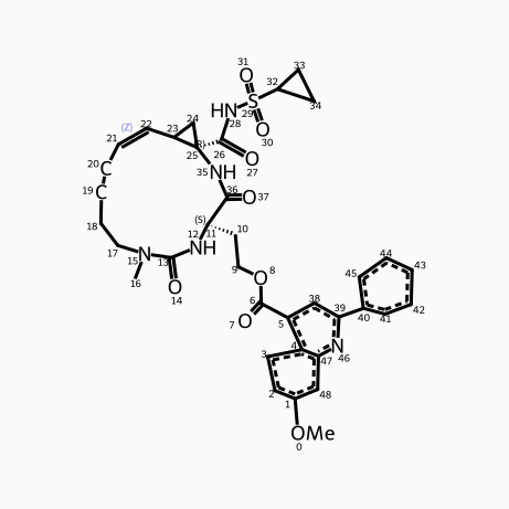 COc1ccc2c(C(=O)OCC[C@@H]3NC(=O)N(C)CCCC/C=C\C4C[C@@]4(C(=O)NS(=O)(=O)C4CC4)NC3=O)cc(-c3ccccc3)nc2c1